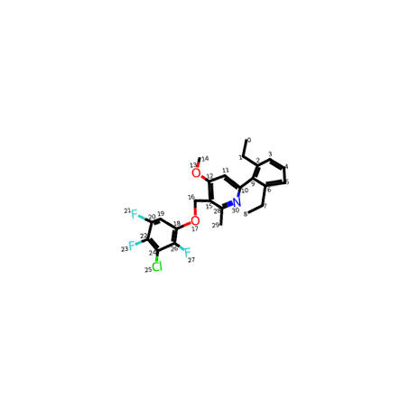 CCc1cccc(CC)c1-c1cc(OC)c(COc2cc(F)c(F)c(Cl)c2F)c(C)n1